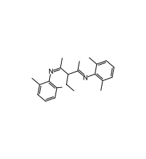 CCC(/C(C)=N\c1c(C)cccc1C)/C(C)=N/c1c(C)cccc1C